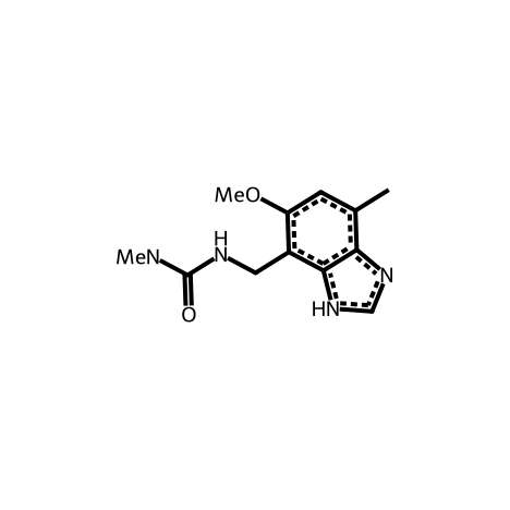 CNC(=O)NCc1c(OC)cc(C)c2nc[nH]c12